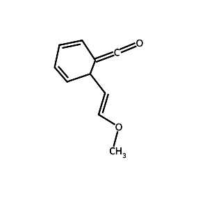 COC=CC1C=CC=CC1=C=O